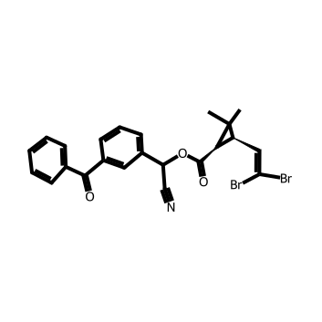 CC1(C)[C@H](C(=O)OC(C#N)c2cccc(C(=O)c3ccccc3)c2)[C@@H]1C=C(Br)Br